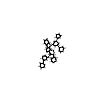 c1ccc(-c2cc(-c3ccccc3)cc(-n3c4ccccc4c4ccc5c(cnc6c7ccccc7n(-c7cccc(-c8ccccc8)c7)c56)c43)c2)cc1